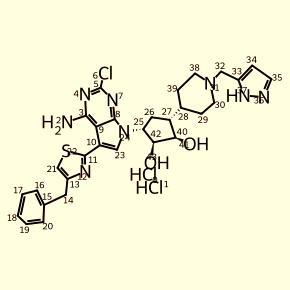 Cl.Cl.Nc1nc(Cl)nc2c1c(-c1nc(Cc3ccccc3)cs1)cn2[C@@H]1C[C@H](C2CCN(Cc3ccn[nH]3)CC2)[C@@H](O)[C@H]1O